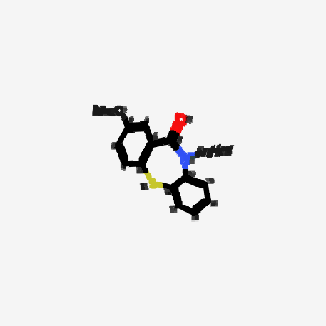 CCCCCCN1C(=O)c2cc(OC)ccc2Sc2ccccc21